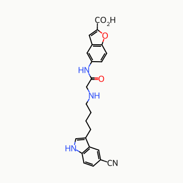 N#Cc1ccc2[nH]cc(CCCCNCC(=O)Nc3ccc4oc(C(=O)O)cc4c3)c2c1